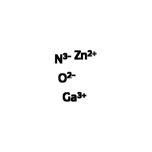 [Ga+3].[N-3].[O-2].[Zn+2]